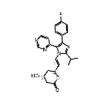 CC(C)c1nc(-c2ccc(F)cc2)c(-c2ccncn2)n1/C=C/[C@@H]1C[C@@H](O)CC(=O)O1